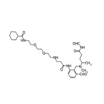 CC(CCC(=O)NC=O)N(C)Cc1c(C=O)cccc1NC(=O)CCNCCOCCOCCNC(=O)C1CCCCC1